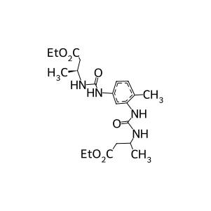 CCOC(=O)CC(C)NC(=O)Nc1cc(NC(=O)N[C@@H](C)CC(=O)OCC)ccc1C